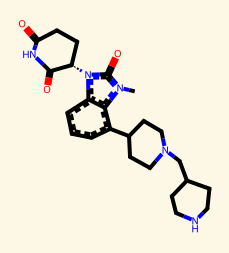 Cn1c(=O)n([C@H]2CCC(=O)NC2=O)c2cccc(C3CCN(CC4CCNCC4)CC3)c21